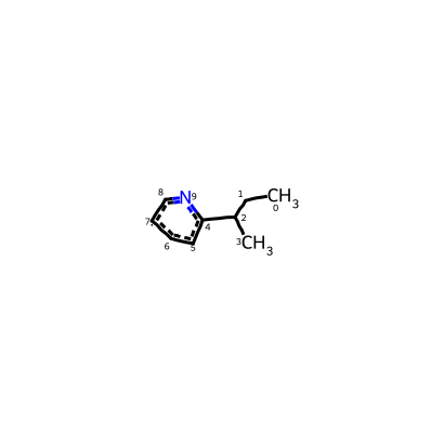 CCC(C)c1cc[c]cn1